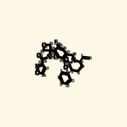 C=C[C@H]1CC[C@H](c2ccccc2)S(=O)(=O)N1Cc1cc(F)c(C2(NC(=O)c3ccon3)COC2)cc1F